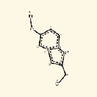 CCOc1ccc2nc(CCl)cn2c1